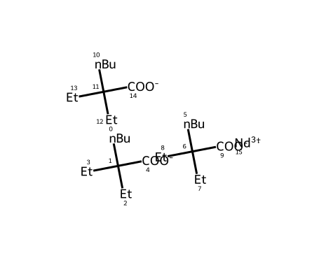 CCCCC(CC)(CC)C(=O)[O-].CCCCC(CC)(CC)C(=O)[O-].CCCCC(CC)(CC)C(=O)[O-].[Nd+3]